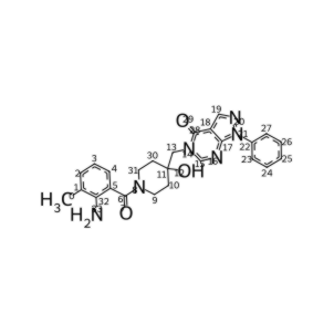 Cc1cccc(C(=O)N2CCC(O)(Cn3cnc4c(cnn4-c4ccccc4)c3=O)CC2)c1N